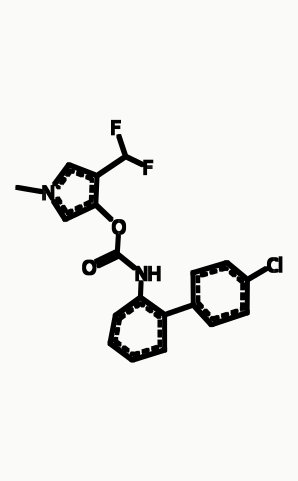 Cn1cc(OC(=O)Nc2ccccc2-c2ccc(Cl)cc2)c(C(F)F)c1